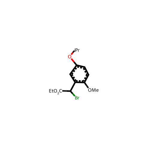 CCOC(=O)C(Br)c1cc(OC(C)C)ccc1OC